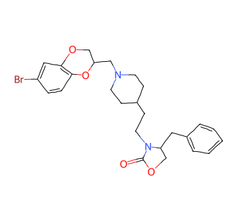 O=C1OCC(Cc2ccccc2)N1CCC1CCN(CC2COc3cc(Br)ccc3O2)CC1